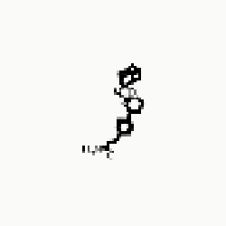 NC(=O)CCc1ccc(C2CCC[C@]3(C2)OOC2(O3)C3CC4CC(C3)CC2C4)cc1